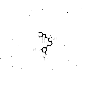 CCNCc1cc(C)cc(-c2ccc3[nH]nc(-c4cc5ccncc5[nH]4)c3n2)c1